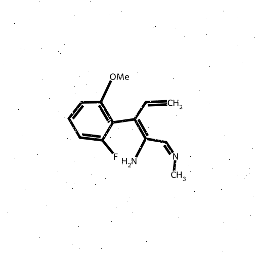 C=C/C(=C(N)\C=N/C)c1c(F)cccc1OC